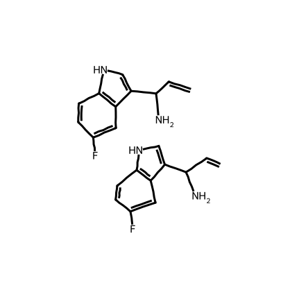 C=CC(N)c1c[nH]c2ccc(F)cc12.C=CC(N)c1c[nH]c2ccc(F)cc12